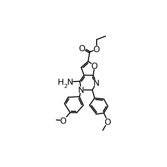 CCOC(=O)c1cc2c(o1)=NC(c1ccc(OC)cc1)N(c1ccc(OC)cc1)C=2N